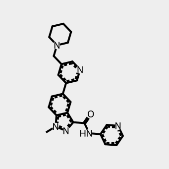 Cn1nc(C(=O)Nc2cccnc2)c2cc(-c3cncc(CN4CCCCC4)c3)ccc21